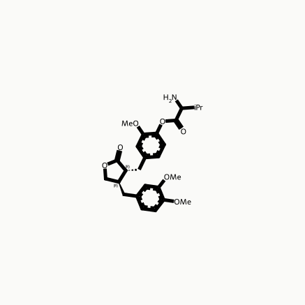 COc1ccc(C[C@H]2COC(=O)[C@@H]2Cc2ccc(OC(=O)C(N)C(C)C)c(OC)c2)cc1OC